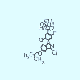 CC(C)COc1ccc2c(c1)c(Cl)nn2-c1cc(F)c(C(=O)NS(C)(=O)=O)cc1Cl